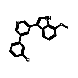 COc1cccc2c(-c3cncc(-c4cccc(Cl)c4)c3)c[nH]c12